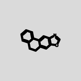 c1ccc2c(c1)CCc1cc3ocnc3cc1-2